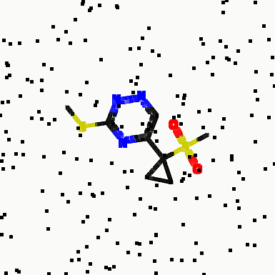 CSc1nncc(C2(S(C)(=O)=O)CC2)n1